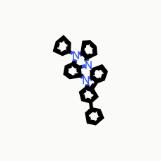 c1ccc(-c2ccc3c(c2)c2cccc4c2n3c2cccc3c2-n4c2ccccc2n3-c2ccccc2)cc1